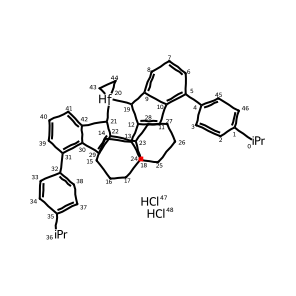 CC(C)c1ccc(-c2cccc3c2C=C(C2CCCCC2)[CH]3[Hf]2([CH]3C(C4CCCCC4)=Cc4c(-c5ccc(C(C)C)cc5)cccc43)[CH2][CH2]2)cc1.Cl.Cl